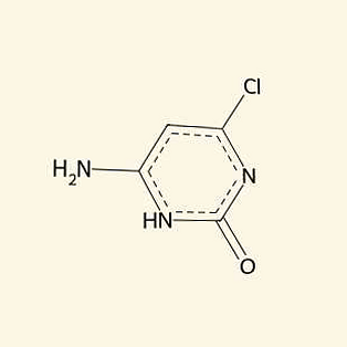 Nc1cc(Cl)nc(=O)[nH]1